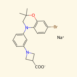 CC1(C)CN(c2cccc(N3CC(C(=O)[O-])C3)c2)c2ccc(Br)cc2O1.[Na+]